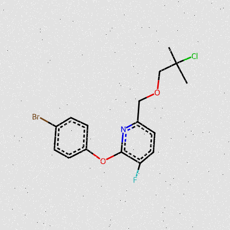 CC(C)(Cl)COCc1ccc(F)c(Oc2ccc(Br)cc2)n1